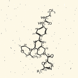 CCNC(=O)Nc1ccc(-c2nc3c(c(N4CCOCC4C)n2)CCN(C(=O)c2nnc(C)o2)C3)cc1